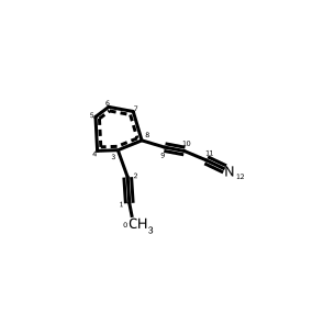 CC#Cc1ccccc1C#CC#N